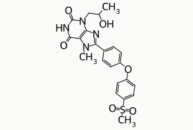 CC(O)Cn1c(=O)[nH]c(=O)c2c1nc(-c1ccc(Oc3ccc(S(C)(=O)=O)cc3)cc1)n2C